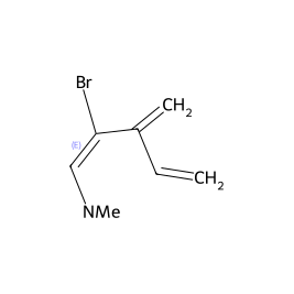 C=CC(=C)/C(Br)=C\NC